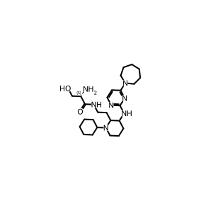 N[C@@H](CO)C(=O)NCCC1C(Nc2nccc(N3CCCCCC3)n2)CCCN1C1CCCCC1